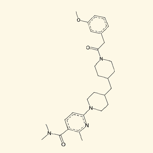 COc1cccc(CC(=O)N2CCC(CC3CCN(c4ccc(C(=O)N(C)C)c(C)n4)CC3)CC2)c1